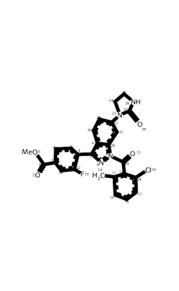 COC(=O)c1ccc(-c2nn(C(=O)c3c(C)cccc3Cl)c3cc(N4CCNC4=O)ccc23)c(F)c1